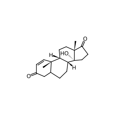 C[C@]12C=CC(=O)CC1CC[C@@H]1[C@H]2CC[C@]2(C)C(=O)CC[C@@]12O